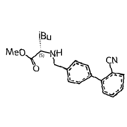 CCC(C)[C@H](NCc1ccc(-c2ccccc2C#N)cc1)C(=O)OC